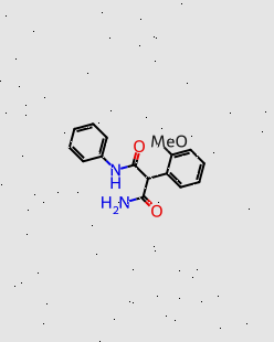 COc1ccccc1C(C(N)=O)C(=O)Nc1ccccc1